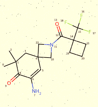 CC1(C)CC2(C=C(N)C1=O)CN(C(=O)C1(C(F)(F)F)CCC1)C2